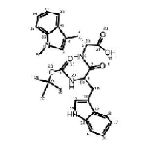 Cn1cc(C[C@@H](NC(=O)[C@@H](Cc2c[nH]c3ccccc23)NC(=O)OC(C)(C)C)C(=O)O)c2ccccc21